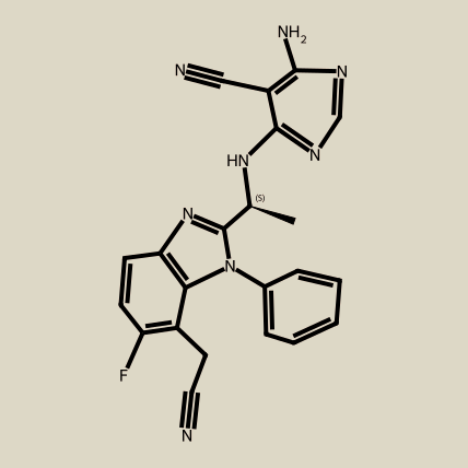 C[C@H](Nc1ncnc(N)c1C#N)c1nc2ccc(F)c(CC#N)c2n1-c1ccccc1